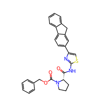 O=C(Nc1nc(-c2ccc3c(c2)Cc2ccccc2-3)cs1)[C@@H]1CCCN1C(=O)OCc1ccccc1